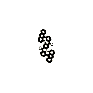 O=c1c2cc3c(cc2n2c4cccc5cc6ccccc6c(c6cccc1c62)c54)c(=O)c1cccc2c4c5ccccc5cc5cccc(c54)n3c12